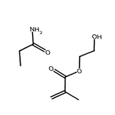 C=C(C)C(=O)OCCO.CCC(N)=O